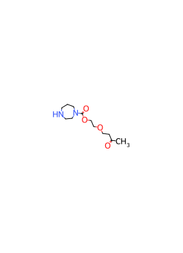 CC(=O)CCOCCOC(=O)N1CCCNCC1